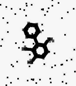 Nc1ccc(O)c(O)c1-c1ccccc1